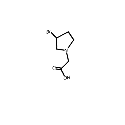 O=C(O)CN1CCC(Br)C1